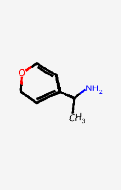 CC(N)C1=CCOC=C1